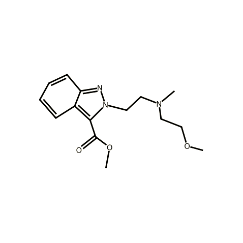 COCCN(C)CCn1nc2ccccc2c1C(=O)OC